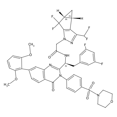 COc1cccc(OC)c1-c1ccc2c(=O)n(-c3ccc(S(=O)(=O)N4CCOCC4)cc3)c([C@H](Cc3cc(F)cc(F)c3)NC(=O)Cn3nc(C(F)F)c4c3C(F)(F)[C@@H]3C[C@H]43)nc2c1